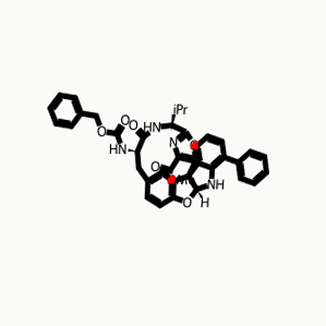 COC(=O)c1nc2oc1C13c4cc(ccc4O[C@@H]1Nc1c(-c4ccccc4)cccc13)C[C@H](NC(=O)OCc1ccccc1)C(=O)N[C@H]2C(C)C